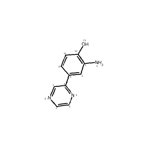 Nc1cc(-c2cnccn2)ccc1O